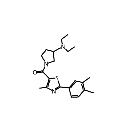 CCN(CC)C1CCN(C(=O)c2sc(-c3ccc(C)c(C)c3)nc2C)C1